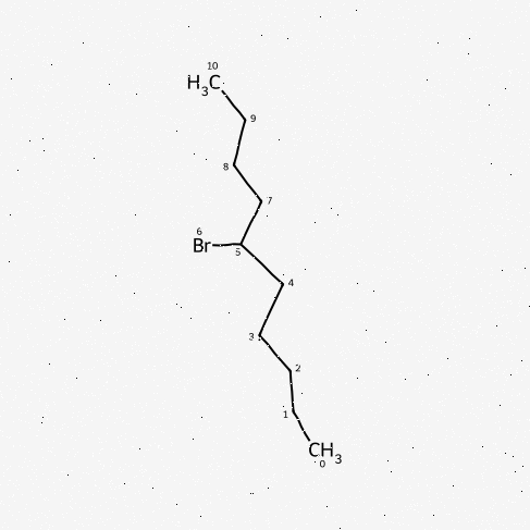 CCC[CH]CC(Br)CCCC